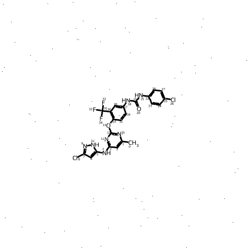 Cc1cc(Nc2cc(Cl)n[nH]2)nc(Oc2ccc(NC(=O)Nc3ccc(Cl)cc3)cc2C(F)(F)F)n1